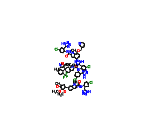 COc1ccc(-c2ccc3cc(C(=O)Nc4ccc(Cl)cc4-c4nnn[nH]4)n(C)c3c2)c(OC)c1OC.Cc1noc(C)c1C1(c2ccccc2C(F)(F)F)C=CC2=C(C1)[N+](C)(C)C(C(=O)N(c1ccc(Cl)cc1-c1nnn[nH]1)c1ccc(Cl)cc1-c1nnn[nH]1)=C2.Cn1c(C(=O)Nc2ccc(Cl)cc2-c2nnn[nH]2)cc2cccc(OCc3cccnc3)c21